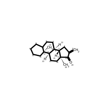 C=C1C[C@H]2[C@@H]3CCC4CCCC[C@]4(C)[C@@H]3CC[C@]2(C)C1=O